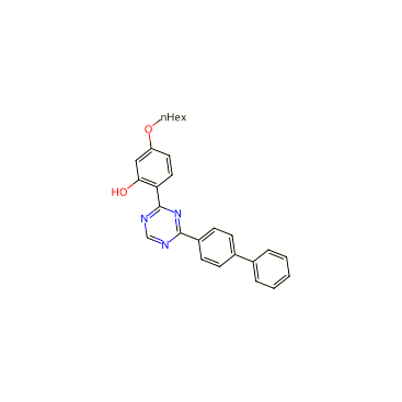 CCCCCCOc1ccc(-c2ncnc(-c3ccc(-c4ccccc4)cc3)n2)c(O)c1